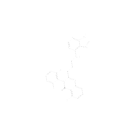 O=c1c2c(Cl)cccc2nc(CCCNc2ncnc3[nH]cnc23)n1-c1c(F)cccc1F